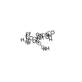 Nc1c(Br)cc(C[C@@H](NC(=O)N2CCC(N3CCc4ccccc4NC3=O)CC2)C(=O)N2CCC(C3CCNCC3)CC2)cc1C(F)(F)F